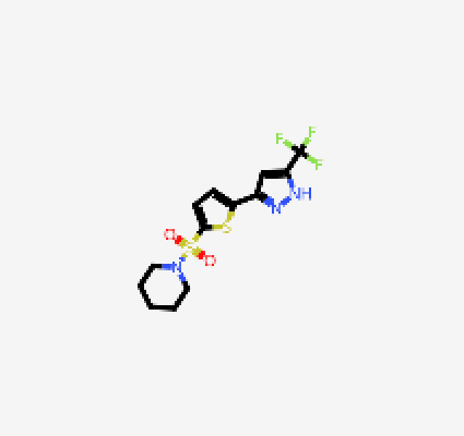 O=S(=O)(c1ccc(-c2cc(C(F)(F)F)[nH]n2)s1)N1CCCCC1